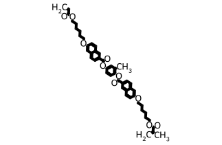 C=CC(=O)OCCCCCCOc1ccc2cc(C(=O)Oc3ccc(OC(=O)c4ccc5cc(OCCCCCCOC(=O)C(=C)C)ccc5c4)c(C)c3)ccc2c1